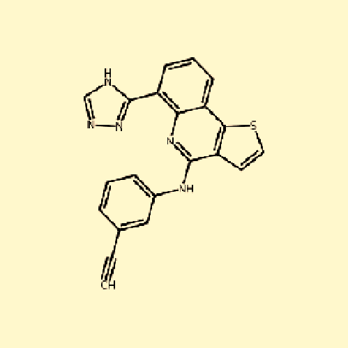 C#Cc1cccc(Nc2nc3c(-c4nnc[nH]4)cccc3c3sccc23)c1